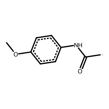 [CH2]C(=O)Nc1ccc(OC)cc1